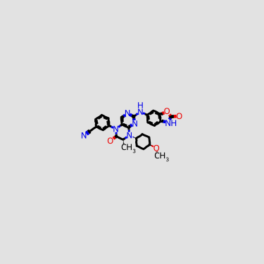 CO[C@H]1CC[C@H](N2c3nc(Nc4ccc5[nH]c(=O)oc5c4)ncc3N(c3cccc(C#N)c3)C(=O)[C@H]2C)CC1